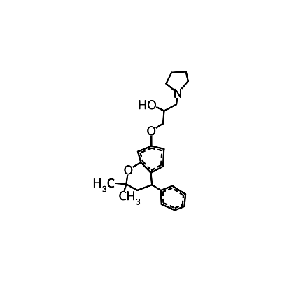 CC1(C)CC(c2ccccc2)c2ccc(OCC(O)CN3CCCC3)cc2O1